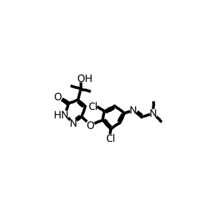 CN(C)C=Nc1cc(Cl)c(Oc2cc(C(C)(C)O)c(=O)[nH]n2)c(Cl)c1